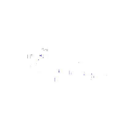 COc1cc(C(=O)N2C[C@H]3CC[C@@H]2[C@@H]3N)cc2nc(-c3cc4ccc(N5CCOCC5)nc4n3CC3CC3)n(C)c12